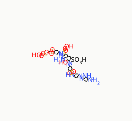 Nc1ccc(/N=N/c2ccc(NS(=O)(=O)c3ccc(/N=N/c4c(S(=O)(=O)O)cc5cc(SOOO)c(/N=N/c6ccc(S(=O)(=O)CCOSOOO)cc6)c(N)c5c4O)cc3)cc2)c(N)c1